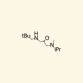 CC(C)N(C)CC(=O)CNCC(C)(C)C